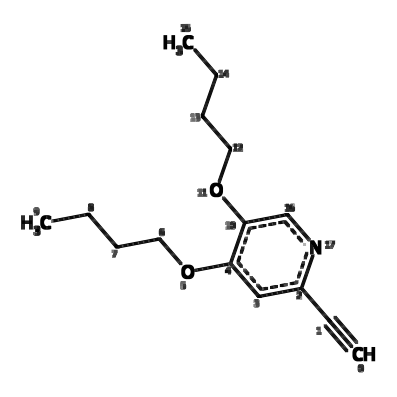 C#Cc1cc(OCCCC)c(OCCCC)cn1